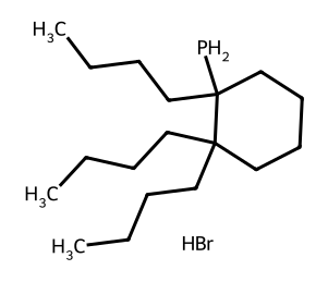 Br.CCCCC1(P)CCCCC1(CCCC)CCCC